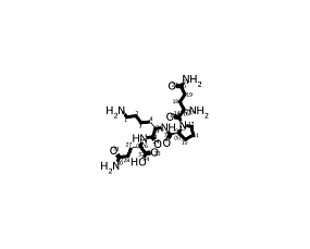 NCCCC[C@H](NC(=O)[C@@H]1CCCN1C(=O)[C@@H](N)CCC(N)=O)C(=O)N[C@@H](CCC(N)=O)C(=O)O